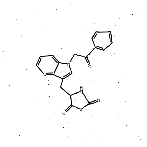 O=C1NC(Cc2cn(CC(=O)c3ccccc3)c3ccccc23)C(=O)S1